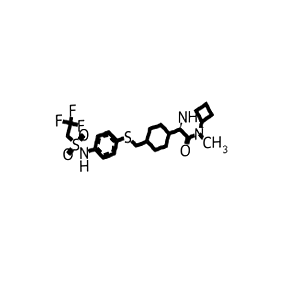 CN(C(=O)[C@@H](N)C1CCC(CSc2ccc(NS(=O)(=O)CC(F)(F)F)cc2)CC1)C1CCC1